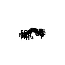 CC1(C(=O)Nc2ccc(Oc3ccc(NC(=O)c4cc(F)c(F)c(F)c4F)cc3)cc2)C=C(F)C(F)=C(F)C1F